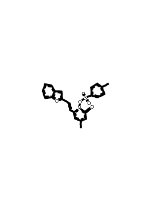 Cc1ccc(S(=O)(=O)On2c(C=Cc3cc4ccccc4o3)cc(C)cc2=O)cc1